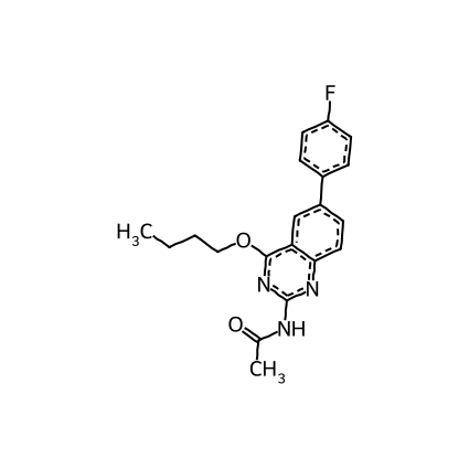 CCCCOc1nc(NC(C)=O)nc2ccc(-c3ccc(F)cc3)cc12